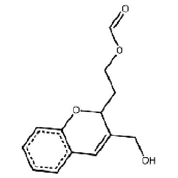 O=COCCC1Oc2ccccc2C=C1CO